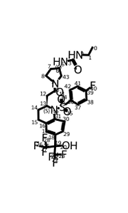 CCNC(=O)N[C@H]1CCN(C(=O)C[C@@H]2CCc3cc(C(O)(C(F)(F)F)C(F)(F)F)ccc3N2S(=O)(=O)c2ccc(F)cc2)C1